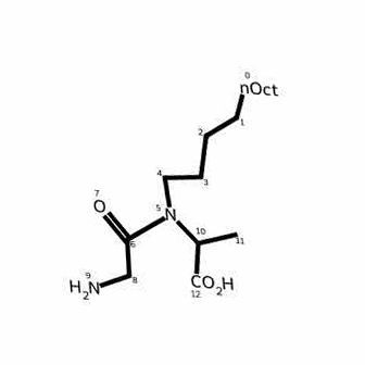 CCCCCCCCCCCCN(C(=O)CN)C(C)C(=O)O